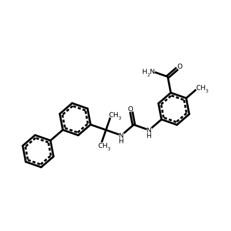 Cc1ccc(NC(=O)NC(C)(C)c2cccc(-c3ccccc3)c2)cc1C(N)=O